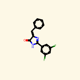 O=C1NC(c2cc(F)cc(F)c2)=NC1=Cc1ccccc1